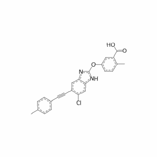 Cc1ccc(C#Cc2cc3nc(Oc4ccc(C)c(C(=O)O)c4)[nH]c3cc2Cl)cc1